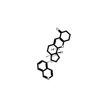 C[C@]12CCC3=CC4=C(CCCC4=O)O[C@H]3[C@@H]1CC[C@@H]2c1cccc2cnccc12